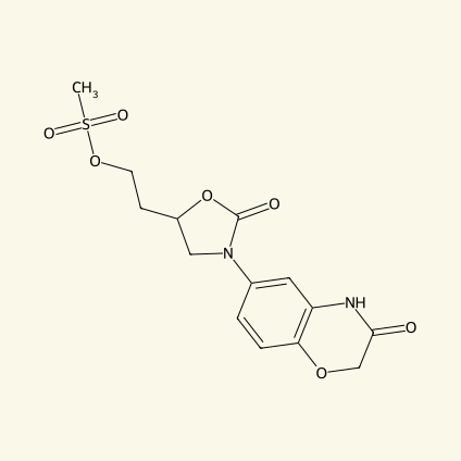 CS(=O)(=O)OCCC1CN(c2ccc3c(c2)NC(=O)CO3)C(=O)O1